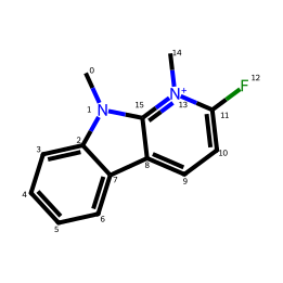 Cn1c2ccccc2c2ccc(F)[n+](C)c21